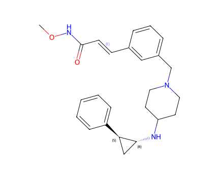 CONC(=O)/C=C/c1cccc(CN2CCC(N[C@@H]3C[C@H]3c3ccccc3)CC2)c1